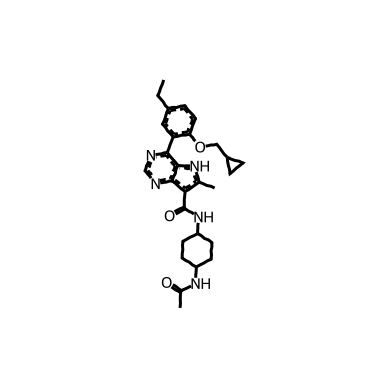 CCc1ccc(OCC2CC2)c(-c2ncnc3c(C(=O)NC4CCC(NC(C)=O)CC4)c(C)[nH]c23)c1